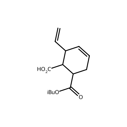 C=CC1C=CCC(C(=O)OCC(C)C)C1C(=O)O